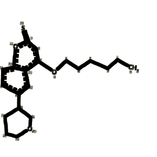 CCCCCCOc1cc(=S)oc2ccc(C3CCCOC3)cc12